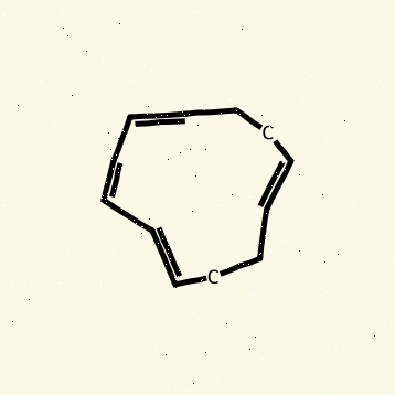 [CH]1/C=C/C=C\C=C\CC/C=C/C1